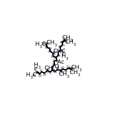 CC(=O)C(CC(=O)CC(/C=C(\C)CCC=C(C)C)C/C=C(\C)CCC=C(C)C)C(/C=C(\C)CCC=C(C)C)C/C=C(\C)CCC=C(C)C